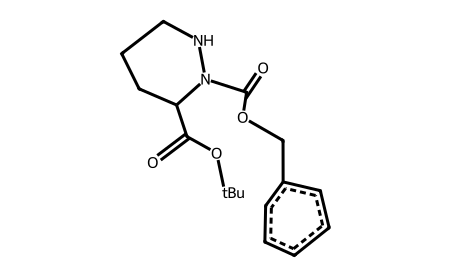 CC(C)(C)OC(=O)C1CCCNN1C(=O)OCc1ccccc1